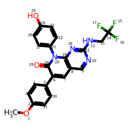 COc1ccc(-c2cc3cnc(NCC(F)(F)F)nc3n(-c3ccc(O)cc3)c2=O)cc1